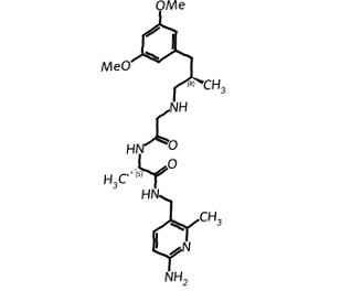 COc1cc(C[C@@H](C)CNCC(=O)N[C@@H](C)C(=O)NCc2ccc(N)nc2C)cc(OC)c1